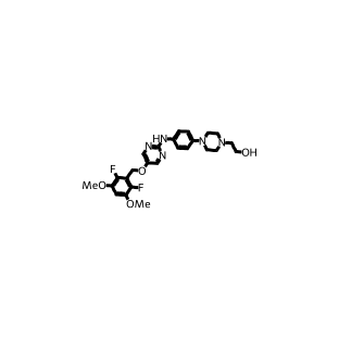 COc1cc(OC)c(F)c(COc2cnc(Nc3ccc(N4CCN(CCO)CC4)cc3)nc2)c1F